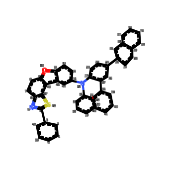 c1ccc(-c2nc3ccc4oc5ccc(N(c6ccccc6)c6ccc(-c7ccc8ccccc8c7)cc6-c6ccccc6)cc5c4c3s2)cc1